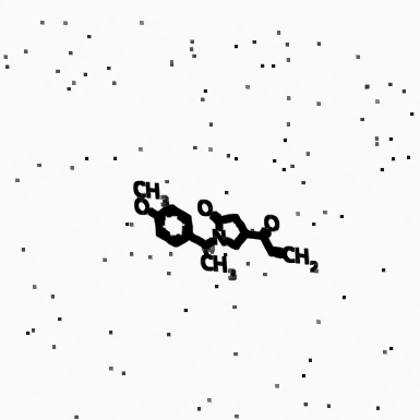 C=CC(=O)C1CC(=O)N([C@H](C)c2ccc(OC)cc2)C1